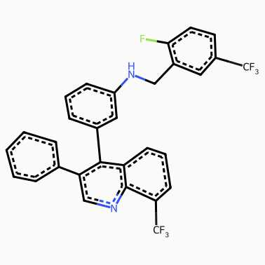 Fc1ccc(C(F)(F)F)cc1CNc1cccc(-c2c(-c3ccccc3)cnc3c(C(F)(F)F)cccc23)c1